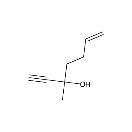 C#CC(C)(O)CCC=C